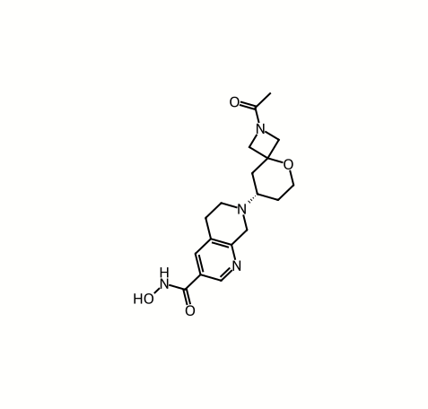 CC(=O)N1CC2(C[C@@H](N3CCc4cc(C(=O)NO)cnc4C3)CCO2)C1